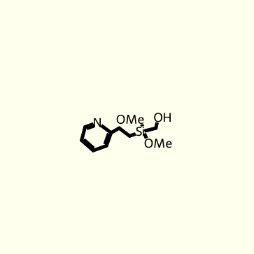 CO[Si](CO)(CCc1ccccn1)OC